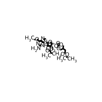 CCOc1nc(N)nc2c1ncn2[C@@H]1O[C@H](COP2(=O)OCC(CC(=O)OC(C)C)CO2)[C@@H](OC(=O)C(C)C)[C@@]1(C)F